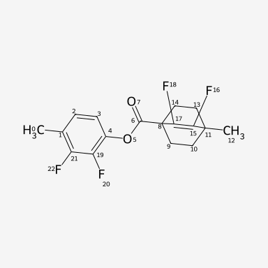 Cc1ccc(OC(=O)C23CCC(C)(CC2)C(F)=C3F)c(F)c1F